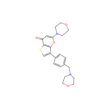 O=c1cc(N2CCOCC2)oc2c(-c3ccc(CN4CCOCC4)cc3)csc12